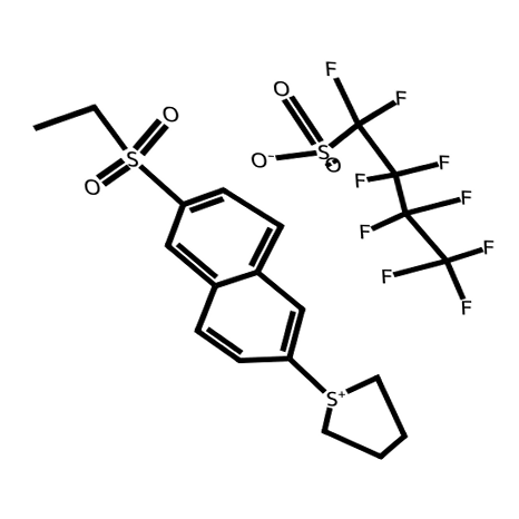 CCS(=O)(=O)c1ccc2cc([S+]3CCCC3)ccc2c1.O=S(=O)([O-])C(F)(F)C(F)(F)C(F)(F)C(F)(F)F